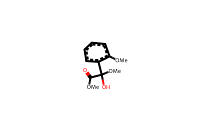 COC(=O)C(O)(OC)c1ccccc1OC